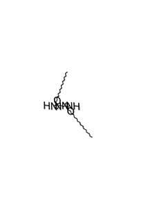 CCCCCCCCCCCCC=COC=C1NCCN1CCN1CCNC1=COC=CCCCCCCCCCCCC